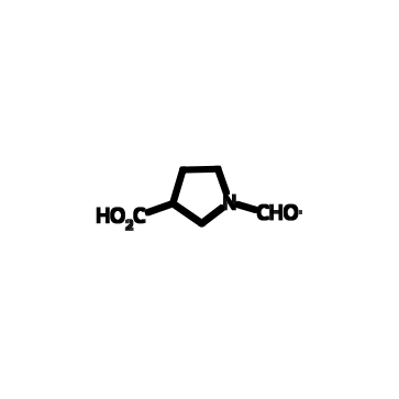 O=[C]N1CCC(C(=O)O)C1